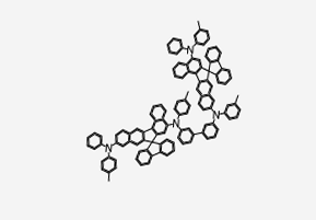 Cc1ccc(N(c2ccccc2)c2ccc3cc4c(cc3c2)C2(c3ccccc3-c3ccccc32)c2cc(N(c3ccc(C)cc3)c3cccc(-c5cccc(N(c6cccc(C)c6)c6ccc7cc8c(cc7c6)C6(c7ccccc7-c7ccccc76)c6cc(N(c7ccccc7)c7cccc(C)c7)c7ccccc7c6-8)c5)c3)c3ccccc3c2-4)cc1